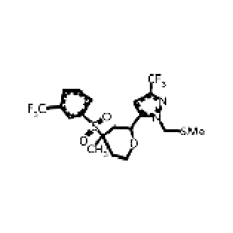 CSCn1nc(C(F)(F)F)cc1C1CC(C)(S(=O)(=O)c2cccc(C(F)(F)F)c2)CCO1